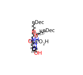 CCCCCCCCCCCCCCOCC(CNC(=O)[C@H](Cc1ccc(O)cc1)NC(=O)O)OCCCCCCCCCCCCCC